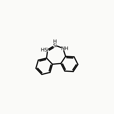 c1ccc2c(c1)N[SiH]=[SiH]c1ccccc1-2